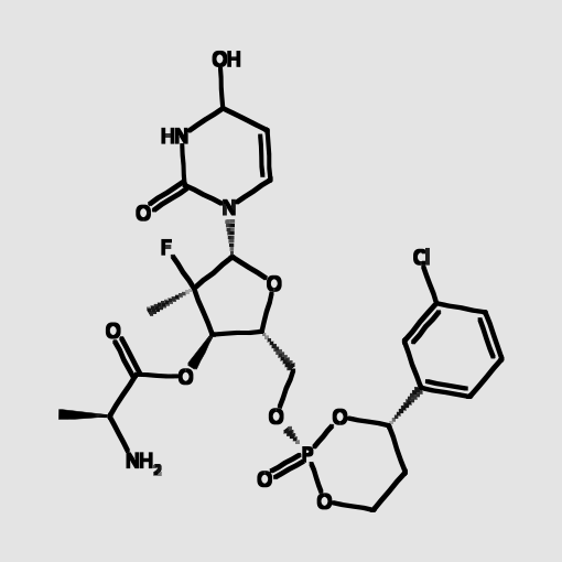 C[C@H](N)C(=O)O[C@@H]1[C@@H](CO[P@@]2(=O)OCC[C@@H](c3cccc(Cl)c3)O2)O[C@@H](N2C=CC(O)NC2=O)[C@]1(C)F